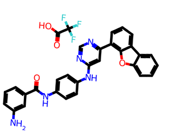 Nc1cccc(C(=O)Nc2ccc(Nc3cc(-c4cccc5c4oc4ccccc45)ncn3)cc2)c1.O=C(O)C(F)(F)F